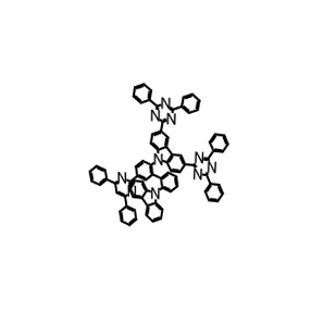 c1ccc(-c2cc(-c3ccccc3)nc(-c3ccc(-n4c5ccc(-c6nc(-c7ccccc7)nc(-c7ccccc7)n6)cc5c5cc(-c6nc(-c7ccccc7)nc(-c7ccccc7)n6)ccc54)c(-c4ccccc4-n4c5ccccc5c5ccccc54)c3)n2)cc1